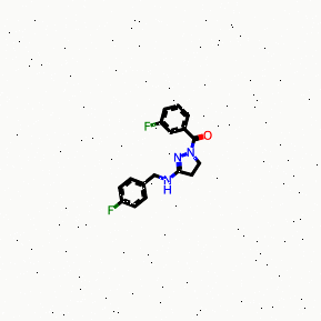 O=C(c1cccc(F)c1)N1CCC(NCc2ccc(F)cc2)=N1